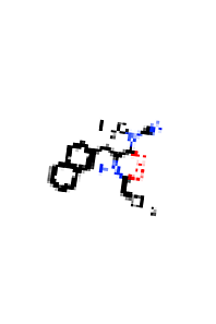 C=CC(=O)NC(Cc1ccc2ccccc2c1)C(=O)N(C)C#N